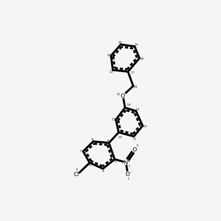 O=[N+]([O-])c1cc(Cl)ccc1-c1cccc(OCc2ccccc2)c1